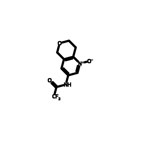 O=C(Nc1cc2c([n+]([O-])c1)CCOC2)C(F)(F)F